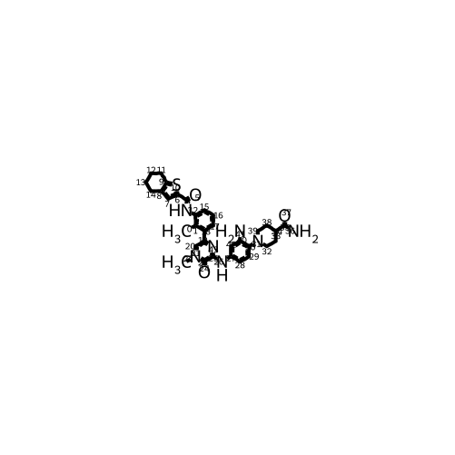 Cc1c(NC(=O)c2cc3c(s2)CCCC3)cccc1-c1cn(C)c(=O)c(Nc2ccc(N3CCC(C(N)=O)CC3)c(N)c2)n1